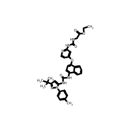 CCOC(=O)CNC(=O)Nc1cc(Oc2ccc(NC(=O)Nc3cc(C(C)(C)C)nn3-c3ccc(C)cc3)c3ccccc23)ccn1